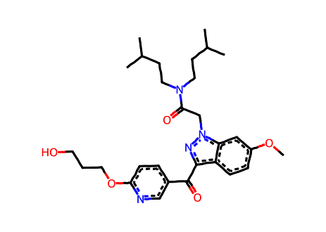 COc1ccc2c(C(=O)c3ccc(OCCCO)nc3)nn(CC(=O)N(CCC(C)C)CCC(C)C)c2c1